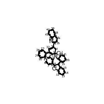 CC1(N2c3cnccc3C3Oc4ccccc4C3c3ccccc32)C=C(c2ccccc2)C=C(c2ccc3ccccc3n2)C1